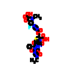 CCN1CCN(C(=O)NC(C(=O)N[C@@H]2C(=O)N3C(C(=O)O)=C(COC(=O)N4CCN(c5cc6c(cc5F)c(=O)c(C(=O)O)cn6CC)CC4)CS[C@H]23)c2ccccc2)C(=O)C1=O